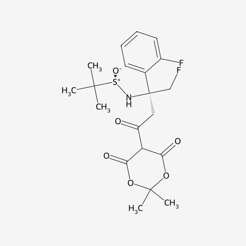 CC1(C)OC(=O)C(C(=O)C[C@](CF)(N[S@+]([O-])C(C)(C)C)c2ccccc2F)C(=O)O1